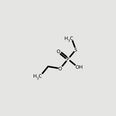 CCOP(=O)(O)SC